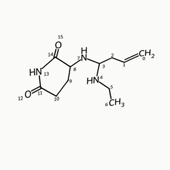 C=CCC(NCC)NC1CCC(=O)NC1=O